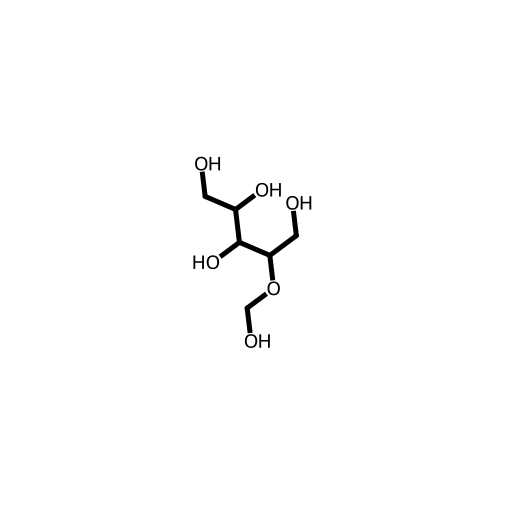 OCOC(CO)C(O)C(O)CO